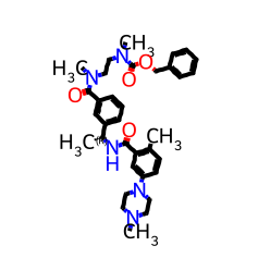 Cc1ccc(N2CCN(C)CC2)cc1C(=O)N[C@H](C)c1cccc(C(=O)N(C)CCN(C)C(=O)OCc2ccccc2)c1